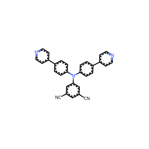 N#Cc1cc(C#N)cc(N(c2ccc(-c3ccncc3)cc2)c2ccc(-c3ccncc3)cc2)c1